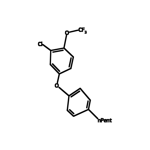 [CH2]CCCCc1ccc(Oc2ccc(OC(F)(F)F)c(Cl)c2)cc1